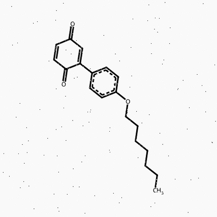 CCCCCCCOc1ccc(C2=CC(=O)C=CC2=O)cc1